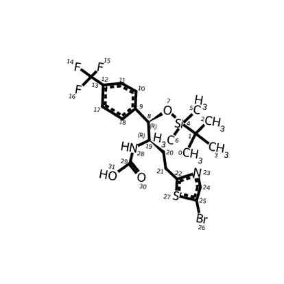 CC(C)(C)[Si](C)(C)O[C@H](c1ccc(C(F)(F)F)cc1)[C@@H](CCc1ncc(Br)s1)NC(=O)O